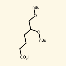 CCCCOCC(CCCC(=O)O)OCCCC